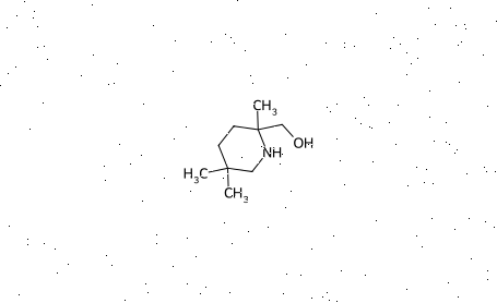 CC1(C)CCC(C)(CO)NC1